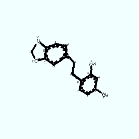 Oc1ccc(CCc2ccc3c(c2)OCO3)c(O)c1